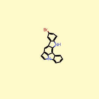 Brc1ccc2[nH]c3c(cc4ccn5c6ccccc6c3c45)c2c1